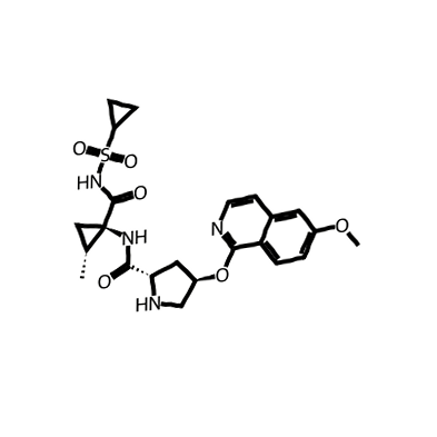 COc1ccc2c(O[C@H]3CN[C@H](C(=O)N[C@]4(C(=O)NS(=O)(=O)C5CC5)C[C@H]4C)C3)nccc2c1